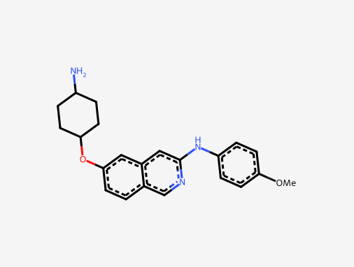 COc1ccc(Nc2cc3cc(OC4CCC(N)CC4)ccc3cn2)cc1